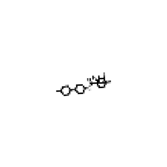 CC1CCC(C2CCC(OC(=O)C34CCC(C)(CC3)C(F)C4(F)F)CC2)CC1